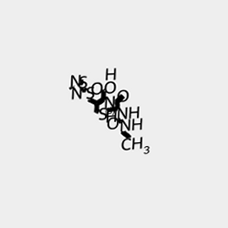 CCCNC(=O)NC1C(=O)N2C(C(=O)O)=C(CSc3ncns3)CS[C@@H]12